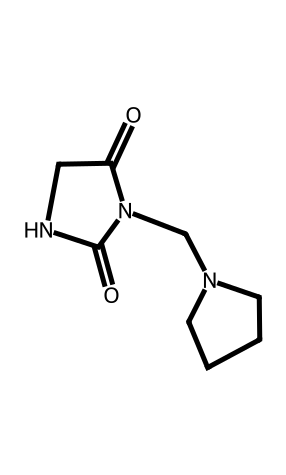 O=C1CNC(=O)N1CN1CCCC1